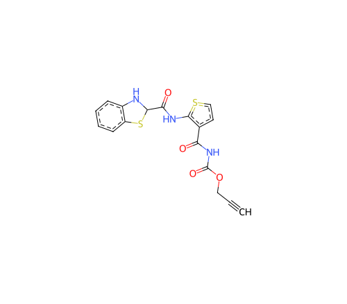 C#CCOC(=O)NC(=O)c1ccsc1NC(=O)C1Nc2ccccc2S1